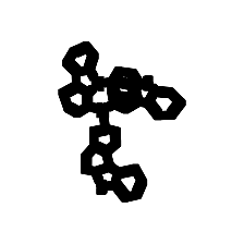 C1=CC2Sc3ccccc3C2c2ccc(N(c3ccc4sc5ccccc5c4c3)c3cccc4c5ccccc5n(-c5ccccc5)c34)cc21